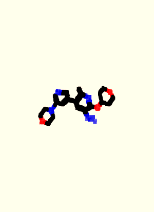 Cc1nc(OC2CCOCC2)c(N)cc1-c1cncc(N2CCOCC2)c1